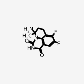 CC1(N)CCc2c(F)c(F)cc3c(=O)[nH]c(=O)n1c23